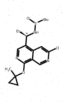 CC[C@@H](N[S+]([O-])C(C)(C)C)c1cnc(OC2(C)CC2)c2cnc(Cl)cc12